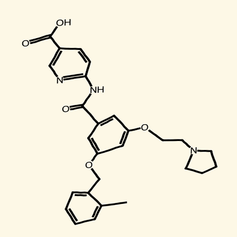 Cc1ccccc1COc1cc(OCCN2CCCC2)cc(C(=O)Nc2ccc(C(=O)O)cn2)c1